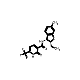 CC[C@@H]1Oc2cc(C)ccc2[C@H]1NC(=O)c1ccc(C(F)(F)F)[nH]c1=O